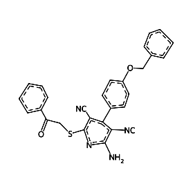 [C-]#[N+]c1c(N)nc(SCC(=O)c2ccccc2)c(C#N)c1-c1ccc(OCc2ccccc2)cc1